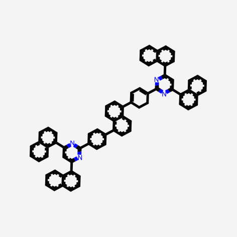 C1=C(c2nc(-c3cccc4ccccc34)cc(-c3cccc4ccccc34)n2)CCC(c2cccc3c(-c4ccc(-c5nc(-c6cccc7ccccc67)cc(-c6cccc7ccccc67)n5)cc4)cccc23)=C1